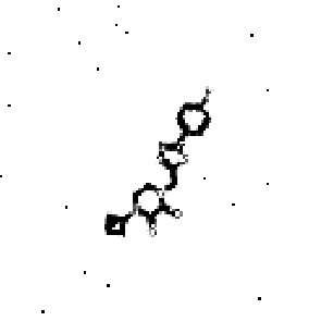 O=C1C(=O)N(C23CC(C2)C3)CCN1Cc1nnc(-c2ccc(F)cc2)s1